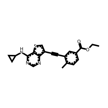 CCOC(=O)c1ccc(C)c(C#Cc2csc3c(NC4CC4)ncnc23)c1